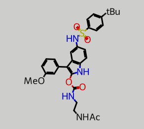 COc1cccc(-c2c(OC(=O)NCCNC(C)=O)[nH]c3ccc(NS(=O)(=O)c4ccc(C(C)(C)C)cc4)cc23)c1